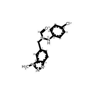 Cn1nnc2ccc(CN(C=O)Nc3ccc(Cl)cc3)cc21